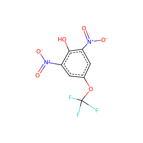 O=[N+]([O-])c1cc(OC(F)(F)F)cc([N+](=O)[O-])c1O